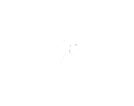 C=CN1CCCC(C)C1=O